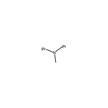 [CH2]C(C)N(C)C([CH2])C